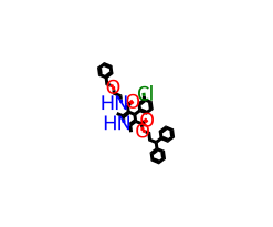 CC1=C(C(=O)NCCOCc2ccccc2)C(c2cccc(Cl)c2)C(C(=O)OCCC(c2ccccc2)c2ccccc2)=C(C)N1